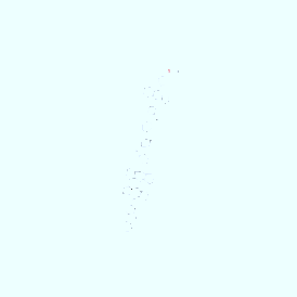 CC(C)(C)Oc1ccc(-c2c3ccccc3c(-c3ccc4c(c3)C(C)(C)c3cc(-c5ccc6c(c5)C(C)(C)c5cc(-c7c8ccccc8c(-c8c9ccccc9c(-c9ccc%10c(c9)C(C)(C)c9ccccc9-%10)c9ccccc89)c8ccccc78)ccc5-6)ccc3-4)c3ccccc23)cc1